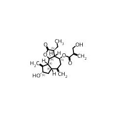 C=C(CO)C(=O)O[C@H]1CC(=C)[C@@H]2C[C@H](O)C(=C)[C@@H]2[C@H]2OC(=O)[C@@H](CC)[C@@H]21